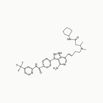 CC(CC(=O)NC1CCCCC1)N(C)CC/C=C/c1cnc(N)c2c(-c3ccc(C(=O)Nc4cc(C(F)(F)F)ccn4)cc3)n[nH]c12